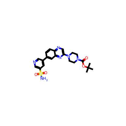 CC(C)(C)OC(=O)N1CCN(c2cnc3ccc(-c4cncc(S(N)(=O)=O)c4)cc3n2)CC1